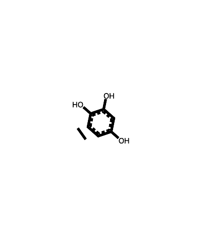 CC.Oc1ccc(O)c(O)c1